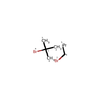 CC(C)(C)Br.CC(C)CBr